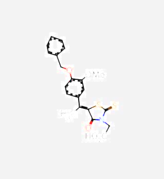 COc1cc(C(C)=C2SC(=S)N(CC(=O)O)C2=O)ccc1OCc1ccccc1